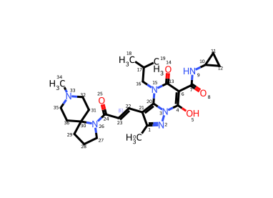 Cc1nn2c(O)c(C(=O)NC3CC3)c(=O)n(CC(C)C)c2c1/C=C/C(=O)N1CCCC12CCN(C)CC2